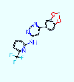 FC(F)(F)c1cccc(Nc2cc(-c3ccc4c(c3)OCO4)ncn2)n1